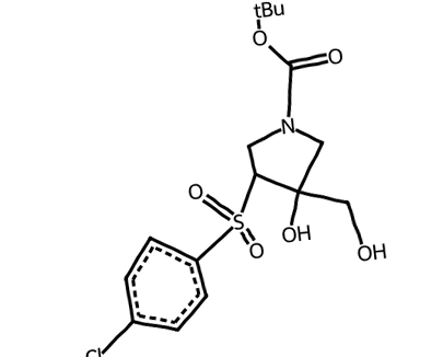 CC(C)(C)OC(=O)N1CC(S(=O)(=O)c2ccc(Cl)cc2)C(O)(CO)C1